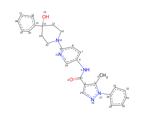 Cc1c(C(=O)Nc2ccc(N3CCC(O)(c4ccccc4)CC3)nc2)cnn1-c1ccccc1